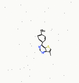 Cc1csc2c(-c3ccc(C(C)(C)C)cc3)ncnc12